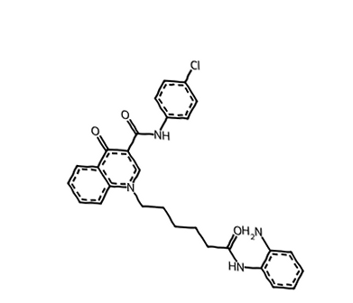 Nc1ccccc1NC(=O)CCCCCn1cc(C(=O)Nc2ccc(Cl)cc2)c(=O)c2ccccc21